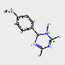 CCCCCc1ccc(C2N=C(C)N=C(C)N2C)cc1